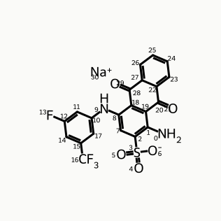 Nc1c(S(=O)(=O)[O-])cc(Nc2cc(F)cc(C(F)(F)F)c2)c2c1C(=O)c1ccccc1C2=O.[Na+]